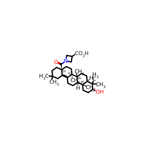 CC1(C)CC[C@]2(C(=O)N3CC(C(=O)O)C3)CC[C@]3(C)C(=C2C1)CC[C@@H]1[C@@]2(C)CC[C@H](O)C(C)(C)[C@@H]2CC[C@]13C